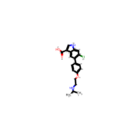 CC(C)NCCOc1ccc(-c2cc3c(C(=O)O)c[nH]c3cc2Cl)cc1